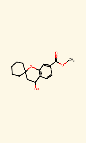 COC(=O)c1ccc2c(c1)OC1(CCCCC1)CC2O